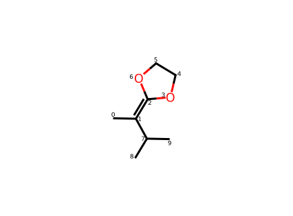 CC(=C1OCCO1)C(C)C